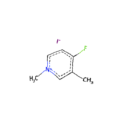 Cc1c[n+](C)ccc1F.[I-]